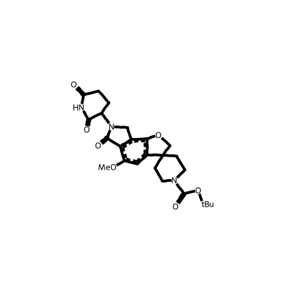 COc1cc2c(c3c1C(=O)N(C1CCC(=O)NC1=O)C3)OCC21CCN(C(=O)OC(C)(C)C)CC1